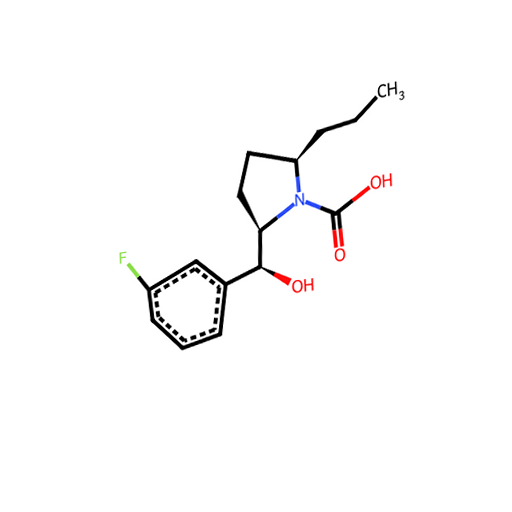 CCC[C@@H]1CC[C@H]([C@@H](O)c2cccc(F)c2)N1C(=O)O